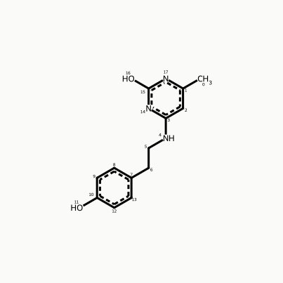 Cc1cc(NCCc2ccc(O)cc2)nc(O)n1